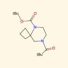 CC(C)(C)OC(=O)N1CCN(C(=O)C(C)(C)C)CC12CCC2